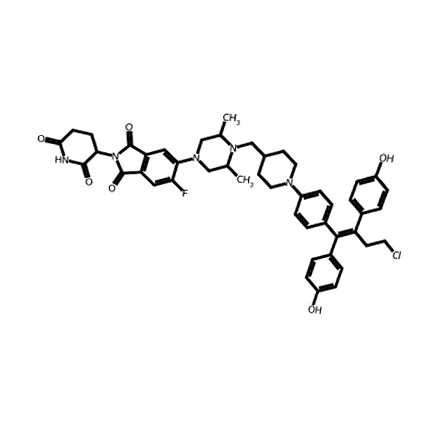 CC1CN(c2cc3c(cc2F)C(=O)N(C2CCC(=O)NC2=O)C3=O)CC(C)N1CC1CCN(c2ccc(C(=C(CCCl)c3ccc(O)cc3)c3ccc(O)cc3)cc2)CC1